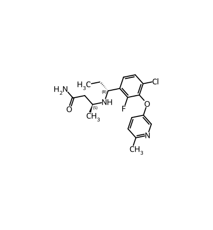 CC[C@@H](N[C@@H](C)CC(N)=O)c1ccc(Cl)c(Oc2ccc(C)nc2)c1F